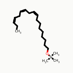 CC/C=C\C/C=C\C/C=C\CCCCCCCCO[Si](C)(C)C